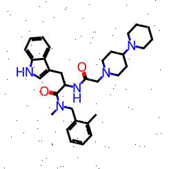 Cc1ccccc1CN(C)C(=O)C(Cc1c[nH]c2ccccc12)NC(=O)CN1CCC(N2CCCCC2)CC1